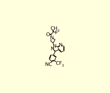 C=C(F)C(=O)N1CC(n2nc(-c3ccc(C#N)c(C(F)(F)F)c3)c3cccnc32)C1